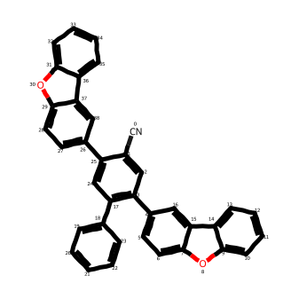 N#Cc1cc(-c2ccc3oc4ccccc4c3c2)c(-c2ccccc2)cc1-c1ccc2oc3ccccc3c2c1